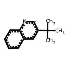 CC(C)(C)c1[c]nc2ccccc2c1